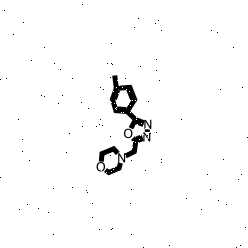 Cc1ccc(-c2nnc(CN3CCOCC3)o2)cc1